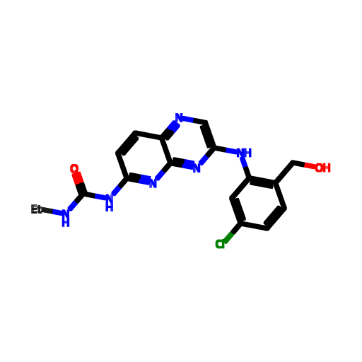 CCNC(=O)Nc1ccc2ncc(Nc3cc(Cl)ccc3CO)nc2n1